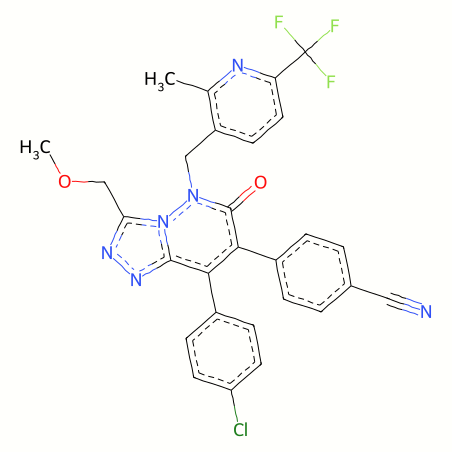 COCc1nnc2c(-c3ccc(Cl)cc3)c(-c3ccc(C#N)cc3)c(=O)n(Cc3ccc(C(F)(F)F)nc3C)n12